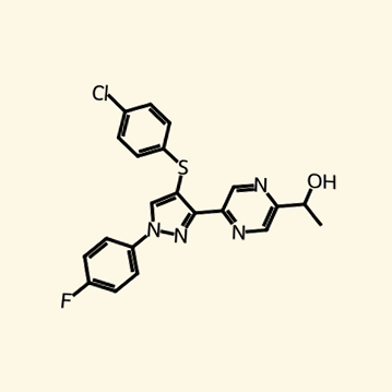 CC(O)c1cnc(-c2nn(-c3ccc(F)cc3)cc2Sc2ccc(Cl)cc2)cn1